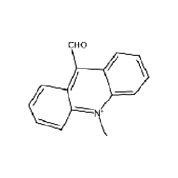 C[n+]1c2ccccc2c(C=O)c2ccccc21